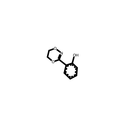 Oc1ccccc1C1=NOCCO1